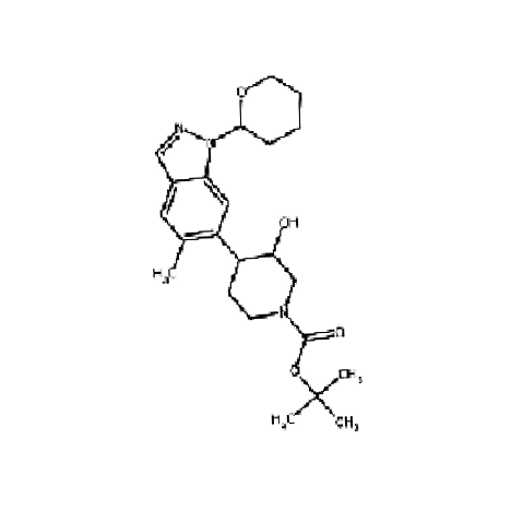 Cc1cc2cnn(C3CCCCO3)c2cc1C1CCN(C(=O)OC(C)(C)C)CC1O